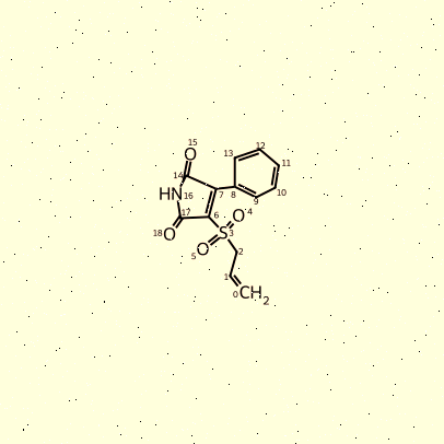 C=CCS(=O)(=O)C1=C(c2ccccc2)C(=O)NC1=O